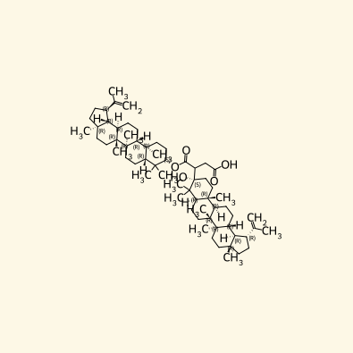 C=C(C)[C@@H]1CC[C@]2(C)CC[C@]3(C)[C@H](CC[C@@H]4[C@@]5(C)CC[C@H](OC(=O)C(CC(=O)O)[C@@]6(O)CC[C@]7(C)[C@H]8CC[C@@H]9[C@H]%10[C@H](C(=C)C)CC[C@]%10(C)CC[C@@]9(C)[C@]8(C)CC[C@H]7C6(C)C)C(C)(C)[C@@H]5CC[C@]43C)[C@@H]12